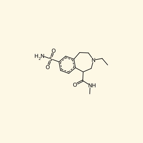 CCN1CCc2cc(S(N)(=O)=O)ccc2C(C(=O)NC)C1